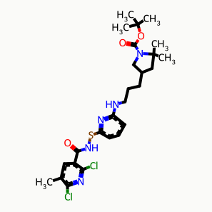 Cc1cc(C(=O)NSc2cccc(NCCCC3CN(C(=O)OC(C)(C)C)C(C)(C)C3)n2)c(Cl)nc1Cl